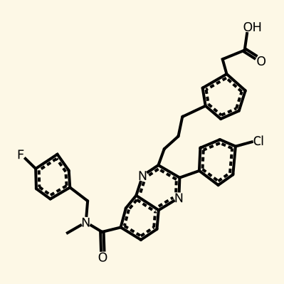 CN(Cc1ccc(F)cc1)C(=O)c1ccc2nc(-c3ccc(Cl)cc3)c(CCCc3cccc(CC(=O)O)c3)nc2c1